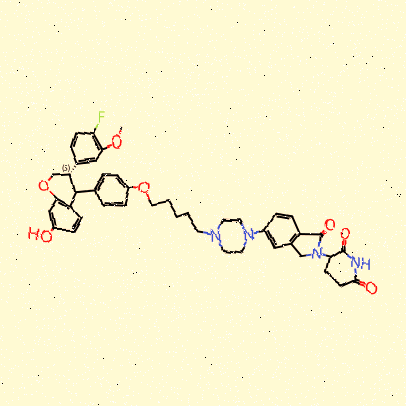 COc1cc([C@H]2COc3cc(O)ccc3C2c2ccc(OCCCCCN3CCN(c4ccc5c(c4)CN(C4CCC(=O)NC4=O)C5=O)CC3)cc2)ccc1F